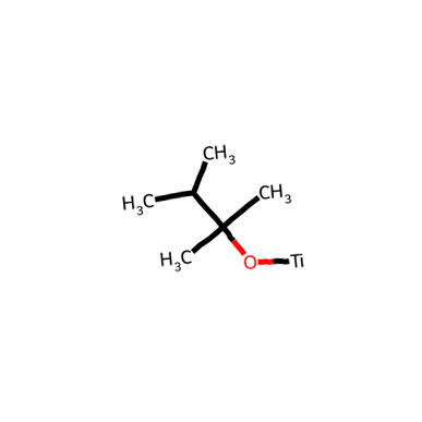 CC(C)C(C)(C)[O][Ti]